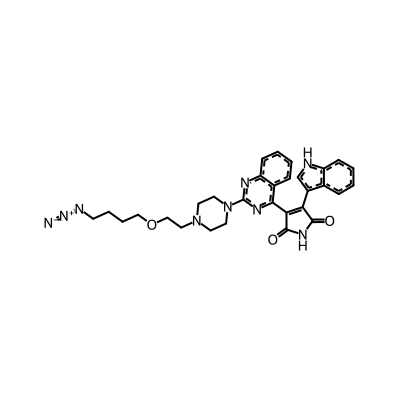 [N-]=[N+]=NCCCCOCCN1CCN(c2nc(C3=C(c4c[nH]c5ccccc45)C(=O)NC3=O)c3ccccc3n2)CC1